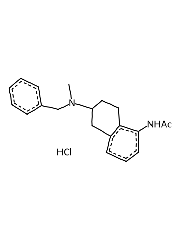 CC(=O)Nc1cccc2c1CCC(N(C)Cc1ccccc1)C2.Cl